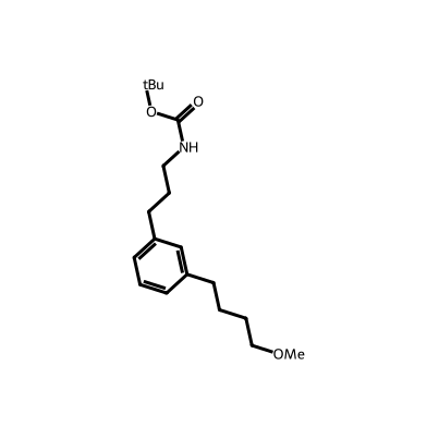 COCCCCc1cccc(CCCNC(=O)OC(C)(C)C)c1